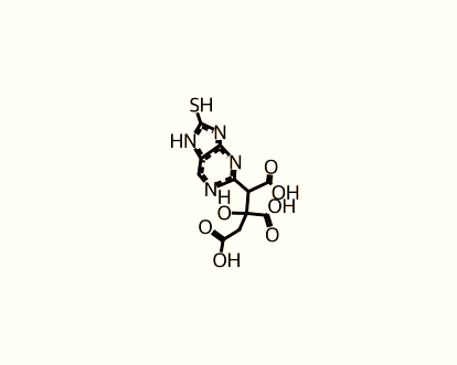 O=C(O)CC(O)(C(=O)O)C(C(=O)O)c1ncc2[nH]c(S)nc2n1